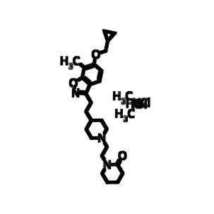 CNC.Cc1c(OCC2CC2)ccc2c(CCC3CCN(CCN4CCCCC4=O)CC3)noc12.Cl.Cl